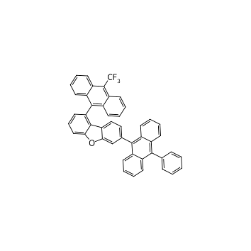 FC(F)(F)c1c2ccccc2c(-c2cccc3oc4cc(-c5c6ccccc6c(-c6ccccc6)c6ccccc56)ccc4c23)c2ccccc12